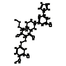 CCCNC(=O)N(CCc1ccc(OC)c(Cl)c1)C(=O)C1CN(c2cc(Cl)nc(-n3ccnc3)n2)CCN1